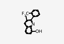 Cc1cc2cccc(O)c2nc1-c1ccccc1C(F)(F)F